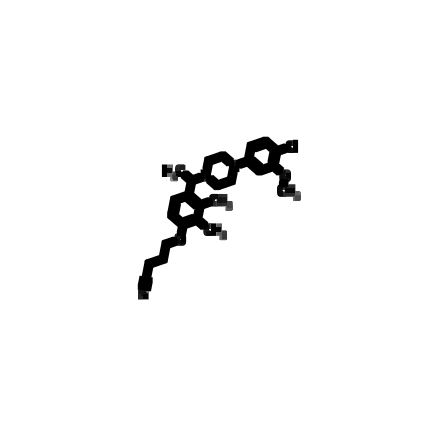 COc1cc(N2CCN(C(C)c3ccc(OCCCC#N)c(C)c3C)CC2)ccc1Cl